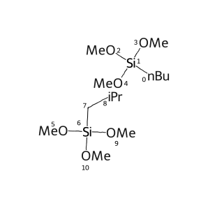 CCCC[Si](OC)(OC)OC.CO[Si](CC(C)C)(OC)OC